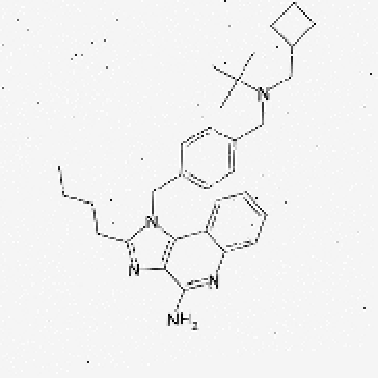 CCCCc1nc2c(N)nc3ccccc3c2n1Cc1ccc(CN(CC2CCC2)C(C)(C)C)cc1